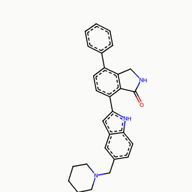 O=C1NCc2c(-c3ccccc3)ccc(-c3cc4cc(CN5CCCCC5)ccc4[nH]3)c21